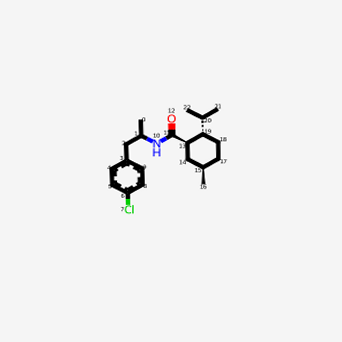 CC(Cc1ccc(Cl)cc1)NC(=O)[C@@H]1C[C@H](C)CC[C@H]1C(C)C